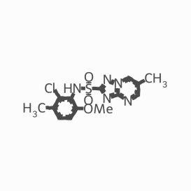 COc1ccc(C)c(Cl)c1NS(=O)(=O)c1nc2ncc(C)cn2n1